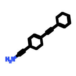 NC#CC1=CC=C(C#CC2=CC=CCC2)CC1